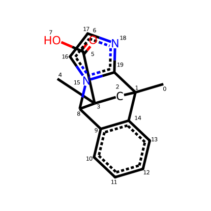 CC12CC(C)(C(=O)O)C(c3ccccc31)n1ccnc12